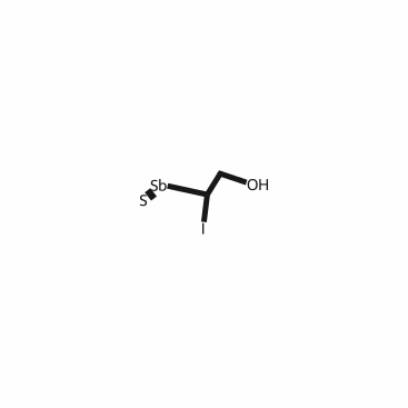 OC[CH](I)[Sb]=[S]